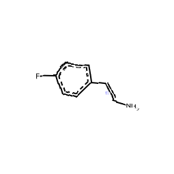 N/C=C/c1ccc(F)cc1